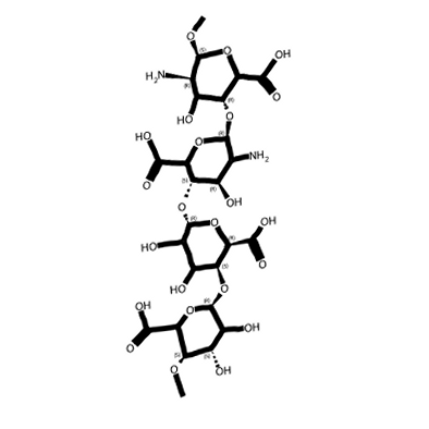 CO[C@H]1OC(C(=O)O)[C@H](O[C@@H]2OC(C(=O)O)[C@@H](O[C@@H]3O[C@@H](C(=O)O)[C@@H](O[C@@H]4OC(C(=O)O)[C@@H](OC)[C@@H](O)C4O)C(O)C3O)[C@H](O)C2N)C(O)[C@H]1N